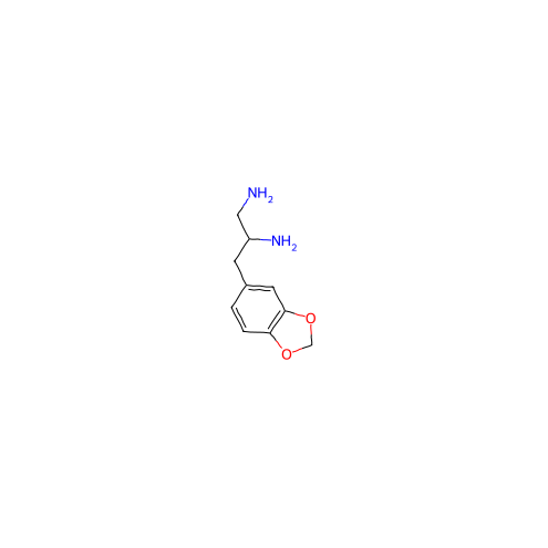 NCC(N)Cc1ccc2c(c1)OCO2